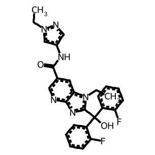 CCn1cc(NC(=O)c2cnc3nc(C(O)(c4ccccc4F)c4ccccc4F)n(CC)c3c2)cn1